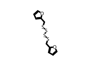 c1coc(CSSSSCc2ccco2)c1